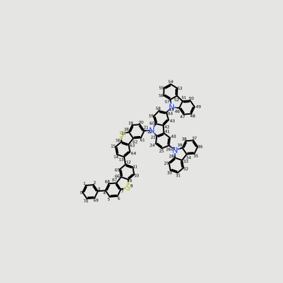 c1ccc(-c2ccc3sc4ccc(-c5ccc6sc7ccc(-n8c9ccc(-n%10c%11ccccc%11c%11ccccc%11%10)cc9c9cc(-n%10c%11ccccc%11c%11ccccc%11%10)ccc98)cc7c6c5)cc4c3c2)cc1